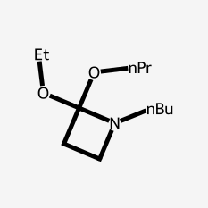 CCCCN1CCC1(OCC)OCCC